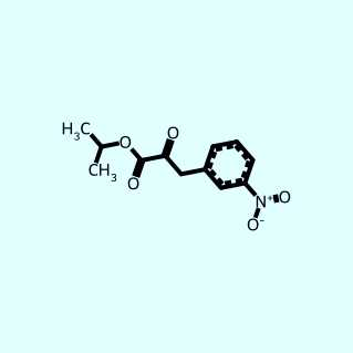 CC(C)OC(=O)C(=O)Cc1cccc([N+](=O)[O-])c1